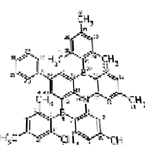 Cc1cc(C)c(B2c3ccc(C)cc3N3c4cc(C)ccc4B(c4c(C)cc(C)cc4C)c4cc(-c5ccccc5)cc2c43)c(C)c1